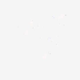 Cn1cc(-c2cc(S(C)(=O)=O)ccc2NC2CCC(=O)C2)c2ccccc2c1=O